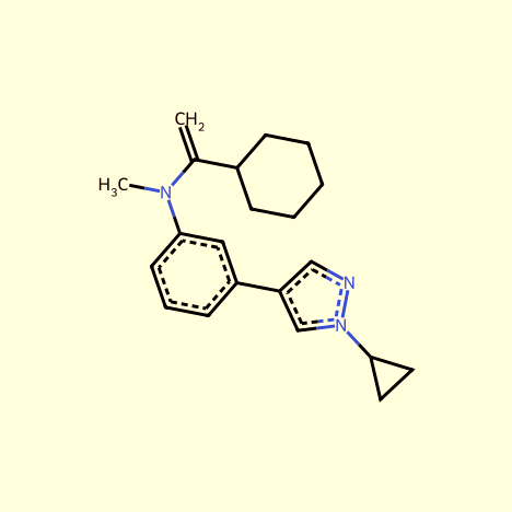 C=C(C1CCCCC1)N(C)c1cccc(-c2cnn(C3CC3)c2)c1